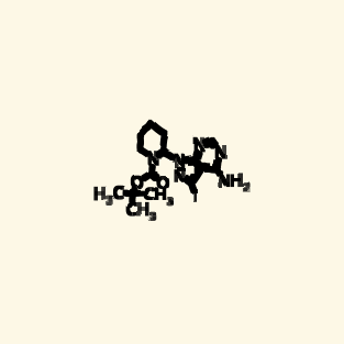 CC(C)(C)OC(=O)N1CCCCC1n1nc(I)c2c(N)ncnc21